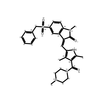 Cc1[nH]c(/C=C2\C(=O)N(C)c3ccc(S(=O)(=O)Cc4ccccc4)cc32)c(C)c1C(=O)N1CCN(C)CC1